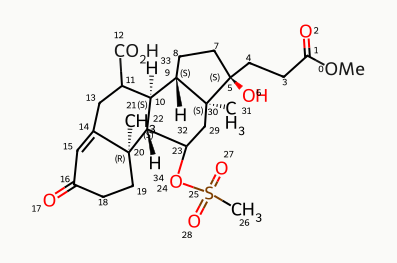 COC(=O)CC[C@@]1(O)CC[C@H]2[C@@H]3C(C(=O)O)CC4=CC(=O)CC[C@]4(C)[C@H]3C(OS(C)(=O)=O)C[C@@]21C